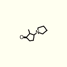 CC1C(=O)CCC1N1CCCC1